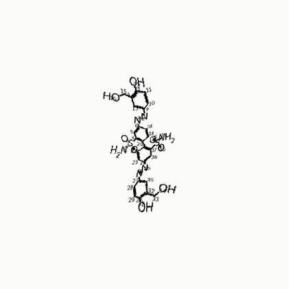 NS(=O)(=O)c1cc(N=Nc2ccc(O)c(CO)c2)ccc1-c1ccc(N=Nc2ccc(O)c(CO)c2)cc1S(N)(=O)=O